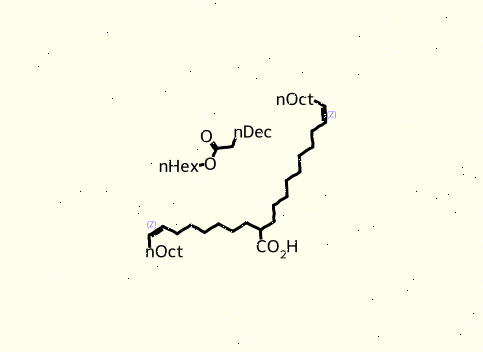 CCCCCCCC/C=C\CCCCCCCCC(CCCCCC/C=C\CCCCCCCC)C(=O)O.CCCCCCCCCCCC(=O)OCCCCCC